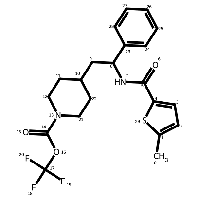 Cc1ccc(C(=O)NC(CC2CCN(C(=O)OC(F)(F)F)CC2)c2ccccc2)s1